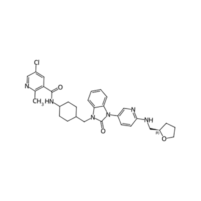 Cc1ncc(Cl)cc1C(=O)NC1CCC(Cn2c(=O)n(-c3ccc(NC[C@H]4CCCO4)nc3)c3ccccc32)CC1